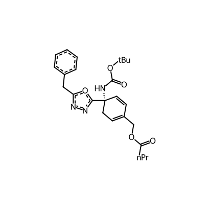 CCCC(=O)OCC1=CC[C@@](NC(=O)OC(C)(C)C)(c2nnc(Cc3ccccc3)o2)C=C1